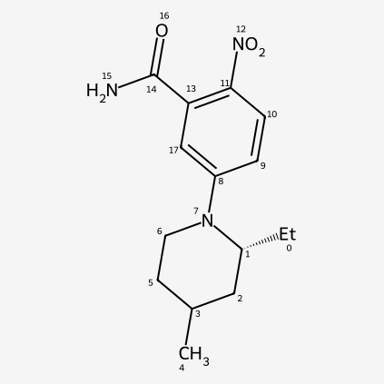 CC[C@@H]1CC(C)CCN1c1ccc([N+](=O)[O-])c(C(N)=O)c1